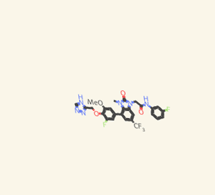 COc1cc(-c2cc(C(F)(F)F)cc3c2n(C)c(=O)n3CC(=O)Nc2cccc(F)c2)cc(F)c1OCc1nnc[nH]1